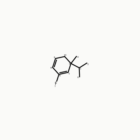 CC(C)C1(C)C=C(F)C=CC1